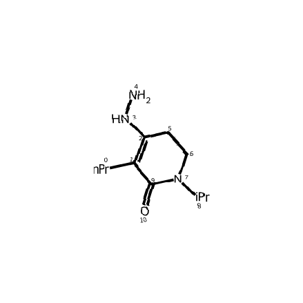 CCCC1=C(NN)CCN(C(C)C)C1=O